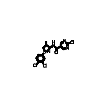 CC1CN(c2ccc(Cl)c(Cl)c2)N=C1NC(=O)c1cnc(Cl)nc1